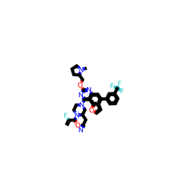 C=C(F)C(=O)N1CCN(c2nc(OCC3CCCN3C)nc3cc(-c4cccc(C(F)(F)F)c4)c4ccoc4c23)CC1CC#N